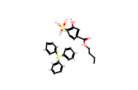 CCCCOC(=O)c1ccc(S(=O)(=O)[O-])c(O)c1.c1ccc([S+](c2ccccc2)c2ccccc2)cc1